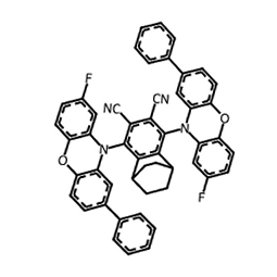 N#Cc1c(C#N)c(N2c3cc(F)ccc3Oc3ccc(-c4ccccc4)cc32)c2c(c1N1c3cc(F)ccc3Oc3ccc(-c4ccccc4)cc31)C1CCC2CC1